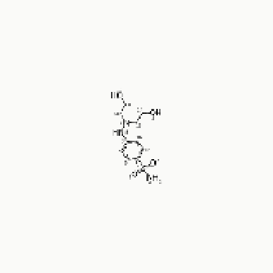 NS(=O)(=O)c1ccc(NN(CCO)CCO)cc1